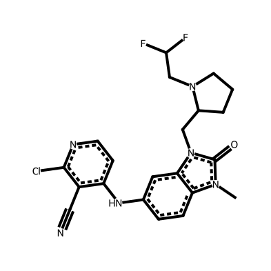 Cn1c(=O)n(CC2CCCN2CC(F)F)c2cc(Nc3ccnc(Cl)c3C#N)ccc21